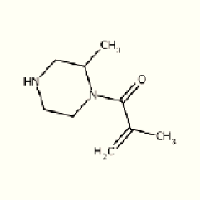 C=C(C)C(=O)N1CCNCC1C